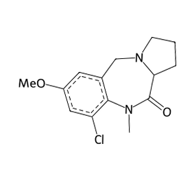 COc1cc(Cl)c2c(c1)CN1CCCC1C(=O)N2C